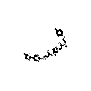 Cc1ccc(OCCN(C)C(=O)Cn2cc(NC(=O)C=CNc3ncc(-c4ncc(C)o4)cn3)cn2)cc1